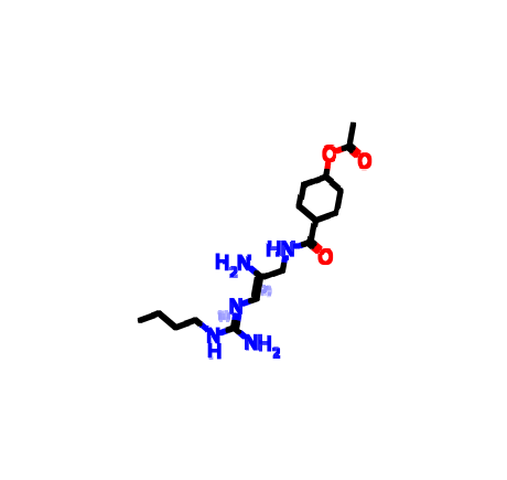 CCCCN/C(N)=N/C=C(\N)CNC(=O)C1CCC(OC(C)=O)CC1